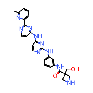 Cc1cccc(-c2nccc(Nc3ccnc(Nc4cccc(NC(=O)C5(CO)CNC5)c4)n3)n2)n1